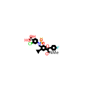 CNC(=O)c1c(-c2ccc(F)cc2)oc2cc(CN(c3ccc(B(O)O)c(Cl)c3)[SH](=O)=O)c(C3CC3)cc12